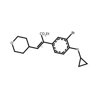 CCOC(=O)/C(=C\C1CCOCC1)c1ccc(SC2CC2)c(Br)c1